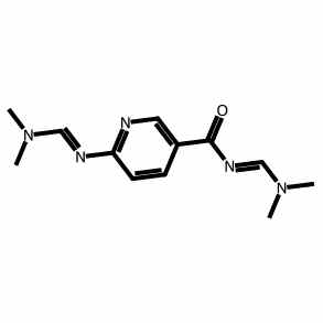 CN(C)/C=N/C(=O)c1ccc(/N=C/N(C)C)nc1